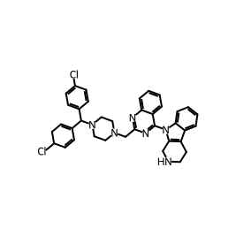 Clc1ccc(C(C2=CCC(Cl)C=C2)N2CCN(Cc3nc(-n4c5c(c6ccccc64)CCNC5)c4ccccc4n3)CC2)cc1